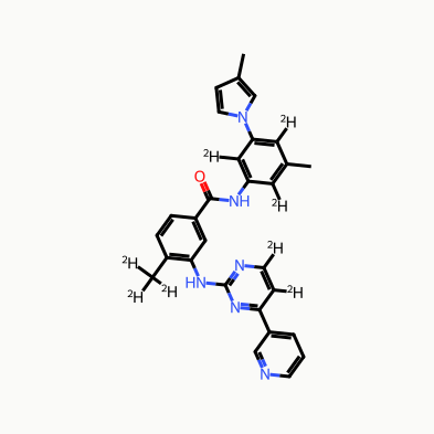 [2H]c1nc(Nc2cc(C(=O)Nc3c([2H])c(C)c([2H])c(-n4ccc(C)c4)c3[2H])ccc2C([2H])([2H])[2H])nc(-c2cccnc2)c1[2H]